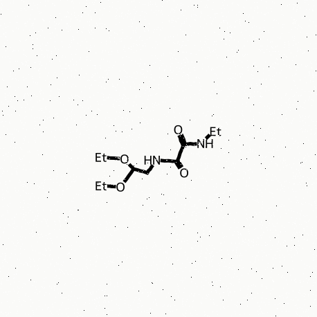 CCNC(=O)C(=O)NCC(OCC)OCC